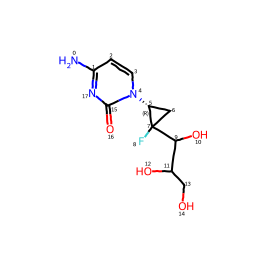 Nc1ccn([C@@H]2CC2(F)C(O)C(O)CO)c(=O)n1